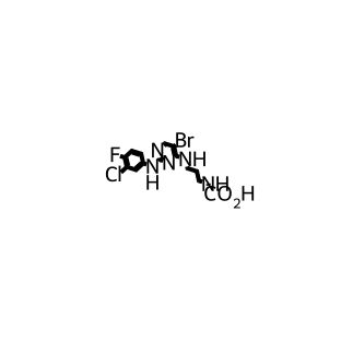 O=C(O)NCCCNc1nc(Nc2ccc(F)c(Cl)c2)ncc1Br